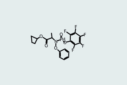 CC(C(=O)OC1CCC1)N(Oc1ccccc1)[PH](=O)Oc1c(F)c(F)c(F)c(F)c1F